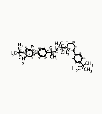 CC(C)(C)c1ccc(C2CCCN(C(C)(C)CCC(C)(C)c3ccc(N4C[C@H]5C[C@@H]4CN5C(C)(C)C)cc3)C2)cc1